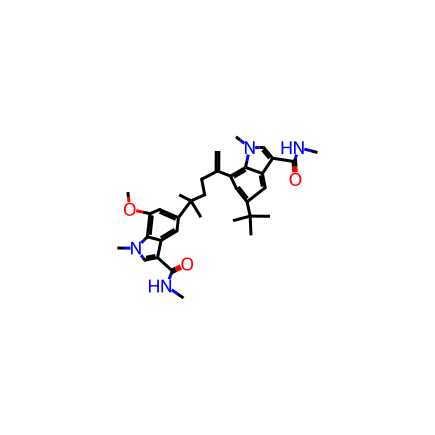 C=C(CCC(C)(C)c1cc(OC)c2c(c1)c(C(=O)NC)cn2C)c1cc(C(C)(C)C)cc2c(C(=O)NC)cn(C)c12